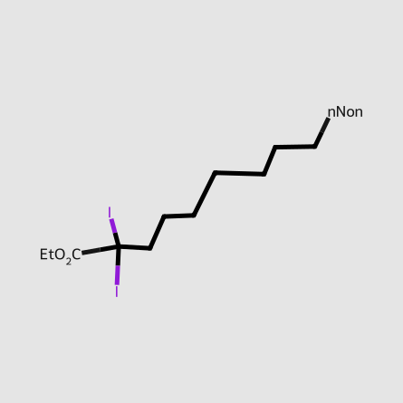 CCCCCCCCCCCCCCCCC(I)(I)C(=O)OCC